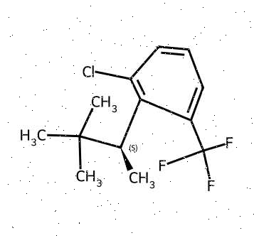 C[C@H](c1c(Cl)cccc1C(F)(F)F)C(C)(C)C